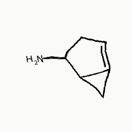 NC1CC=C2CC21